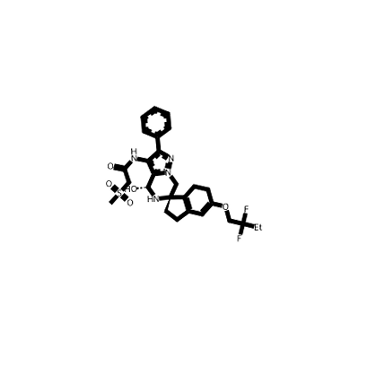 CCC(F)(F)COC1=CC2=C(CC1)[C@@]1(CC2)Cn2nc(-c3ccccc3)c(NC(=O)CS(C)(=O)=O)c2[C@@H](O)N1